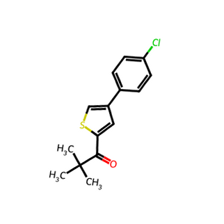 CC(C)(C)C(=O)c1cc(-c2ccc(Cl)cc2)cs1